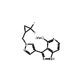 COc1nccc2[nH]nc(-c3cnn(CC4CC4(F)F)c3)c12